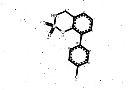 O=S1(=O)NCc2cccc(-c3ccc(Cl)cc3)c2O1